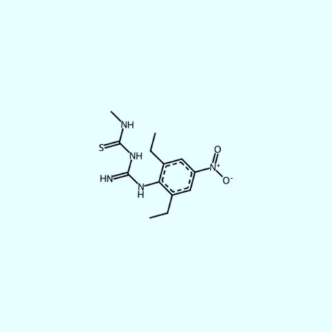 CCc1cc([N+](=O)[O-])cc(CC)c1NC(=N)NC(=S)NC